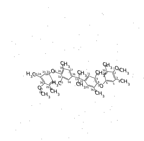 COc1c(C)cc(Oc2c(C)cc(C(C)(C)c3cc(C)c(Oc4cc(C)c(OC)c(C)c4)c(C)c3)cc2C)cc1C